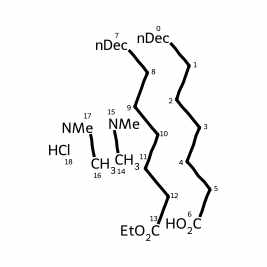 CCCCCCCCCCCCCCCC(=O)O.CCCCCCCCCCCCCCCC(=O)OCC.CNC.CNC.Cl